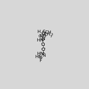 CC(C)(C)OC(=O)N1CCC[C@H]1c1ncc(-c2ccc(-c3ccc(-c4cnc([C@@H]5C[C@H](F)CN5)[nH]4)cc3)cc2)[nH]1